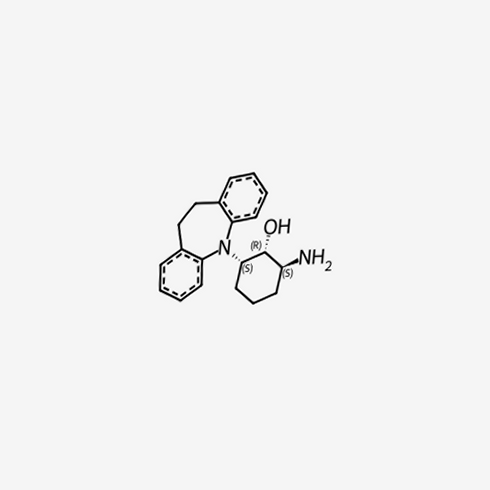 N[C@H]1CCC[C@H](N2c3ccccc3CCc3ccccc32)[C@@H]1O